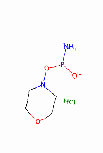 Cl.NP(O)ON1CCOCC1